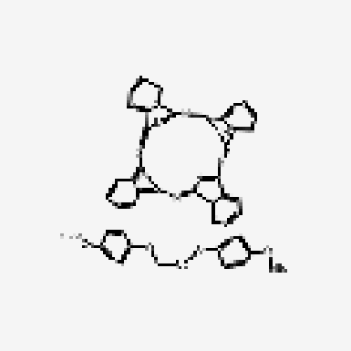 CCCCOc1ccc(O[CH2][Cu][CH2]Oc2ccc(OCCCC)cc2)cc1.c1ccc2c(c1)-c1nc-2nc2[nH]c(nc3nc(nc4[nH]c(n1)c1ccccc41)-c1ccccc1-3)c1ccccc21